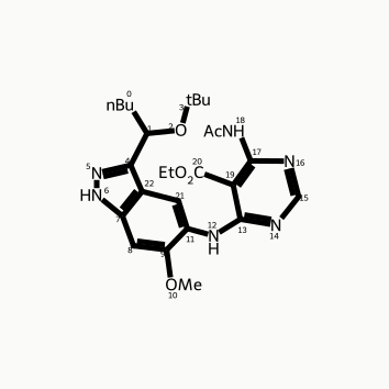 CCCCC(OC(C)(C)C)c1n[nH]c2cc(OC)c(Nc3ncnc(NC(C)=O)c3C(=O)OCC)cc12